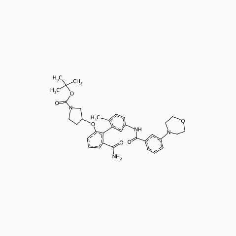 Cc1ccc(NC(=O)c2cccc(N3CCOCC3)c2)cc1-c1c(OC2CCN(C(=O)OC(C)(C)C)C2)cccc1C(N)=O